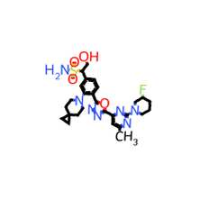 Cc1cc(-c2nnc(-c3ccc(C(CO)S(N)(=O)=O)cc3N3CCC4(CC3)CC4)o2)nc(N2CCCC(F)C2)n1